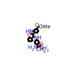 COC(=O)c1ccc2c(c1)NC(=O)/C2=C(/Nc1ccc(C(C)(N)C(N)=O)cc1)c1ccccc1